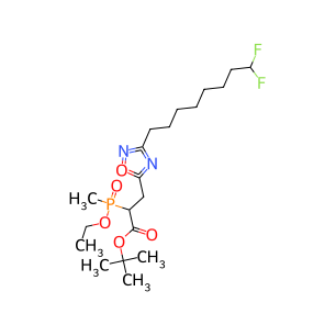 CCOP(C)(=O)C(Cc1nc(CCCCCCCC(F)F)no1)C(=O)OC(C)(C)C